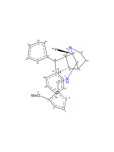 COc1ccsc1CN[C@@H]1C2CCN(CC2)[C@H]1C(c1ccccc1)c1ccccc1